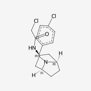 O=C(CCl)N[C@H]1C[C@H]2CC[C@@H](C1)N2Cc1ccc(Cl)cc1